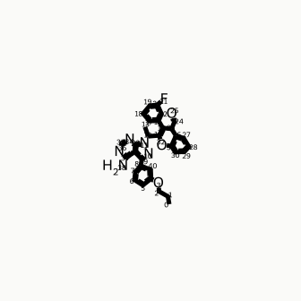 CCCOc1cccc(-c2nn(C(C)C3=C(c4cccc(F)c4)C(C=O)c4ccccc4O3)c3ncnc(N)c23)c1